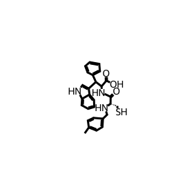 Cc1ccc(CN[C@@H](CS)C(=O)NC(C(=O)O)C(c2ccccc2)c2c[nH]c3ccccc23)cc1